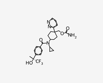 C[C@](O)(c1ccc(C(=O)N(C2CC2)C2CCC(COC(N)=O)(c3cccnn3)CC2)cc1)C(F)(F)F